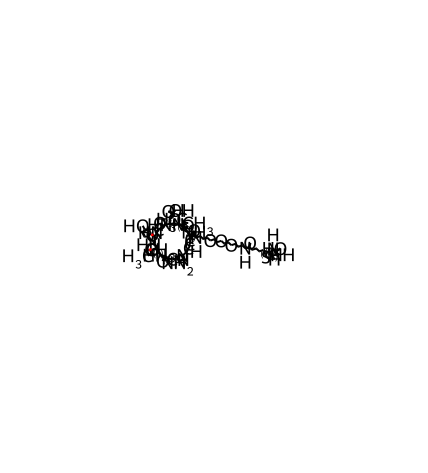 CC(C)C[C@@H]1NC(=O)[C@@H](N)Cc2cn(nn2)CCCC[C@@H](C(=O)NCCCOCCOCCOCCCNC(=O)CCCC[C@H]2SC[C@H]3NC(=O)N[C@H]32)NC(=O)[C@H](C(C)C)NC(=O)[C@H](CCC(=O)O)NC(=O)CNC(=O)[C@H](Cc2ccc(O)cc2)NC1=O